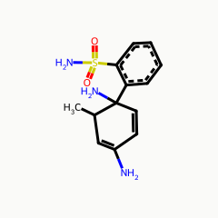 CC1C=C(N)C=CC1(N)c1ccccc1S(N)(=O)=O